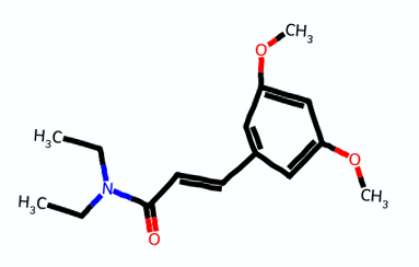 CCN(CC)C(=O)/C=C/c1cc(OC)cc(OC)c1